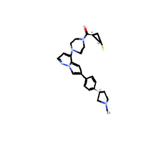 CCN1CC[C@@H](c2ccc(-c3cc4c(N5CCN(C(=O)[C@H]6C[C@H]6F)CC5)ccnn4c3)cc2)C1